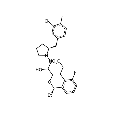 CC[C@@H](OCC(O)CN1CCC[C@H]1Cc1ccc(C)c(Cl)c1)c1cccc(F)c1CCC(=O)O